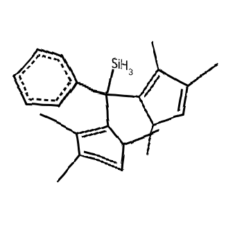 CC1=CC(C)C(C([SiH3])(C2=C(C)C(C)=CC2C)c2ccccc2)=C1C